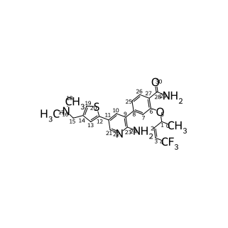 CC(/C=C\C(F)(F)F)Oc1cc(-c2cc(-c3cc(CN(C)C)cs3)cnc2N)ccc1C(N)=O